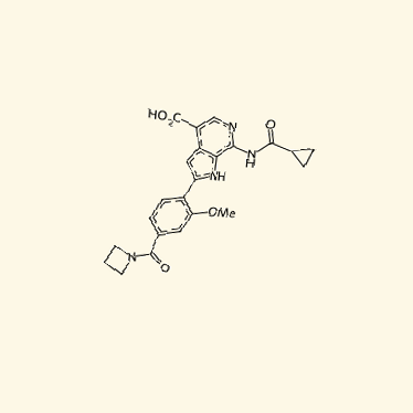 COc1cc(C(=O)N2CCC2)ccc1-c1cc2c(C(=O)O)cnc(NC(=O)C3CC3)c2[nH]1